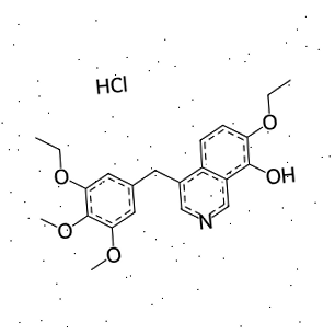 CCOc1cc(Cc2cncc3c(O)c(OCC)ccc23)cc(OC)c1OC.Cl